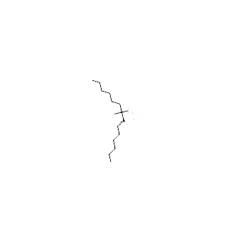 CCCCCCCC(C)(BP(=O)(O)O)CCCCCC